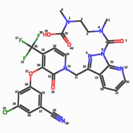 CN(CCN(C)C(=O)n1nc(Cn2ccc(C(F)(F)F)c(Oc3cc(Cl)cc(C#N)c3)c2=O)c2cccnc21)C(=O)O